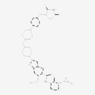 CC(C)Oc1cc2nn(C3CCC(CN4CCC(c5ccc(OC6CCC(=O)NC6=O)cc5)CC4)CC3)cc2cc1C(=O)Nc1cccn([C@H]2C[C@H]2F)c1=O